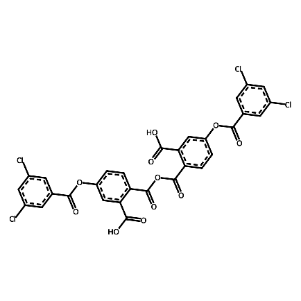 O=C(Oc1ccc(C(=O)OC(=O)c2ccc(OC(=O)c3cc(Cl)cc(Cl)c3)cc2C(=O)O)c(C(=O)O)c1)c1cc(Cl)cc(Cl)c1